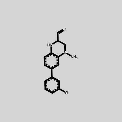 CN1CC(C=O)Nc2ccc(-c3cccc(Cl)c3)cc21